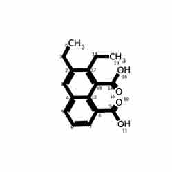 CCc1cc2cccc(C(=O)O)c2c(C(=O)O)c1CC